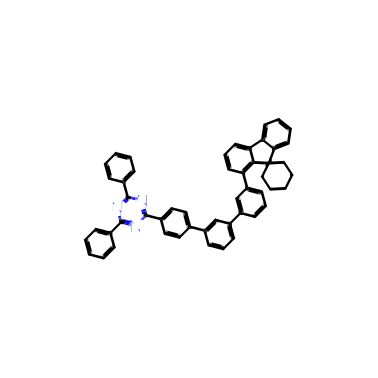 c1ccc(-c2nc(-c3ccccc3)nc(-c3ccc(-c4cccc(-c5cccc(-c6cccc7c6C6(CCCCC6)c6ccccc6-7)c5)c4)cc3)n2)cc1